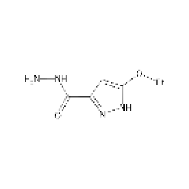 CCOc1cc(C(=O)NN)n[nH]1